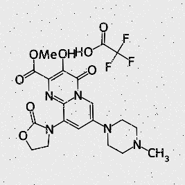 COC(=O)c1nc2c(N3CCOC3=O)cc(N3CCN(C)CC3)cn2c(=O)c1O.O=C(O)C(F)(F)F